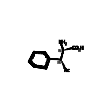 CC(=O)[C@H](c1ccccc1)[C@H](N)C(=O)O